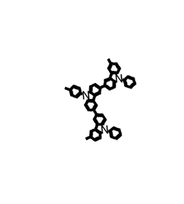 Cc1ccc(-n2c3ccc(-c4ccc5c(c4)c4cc(C)ccc4n5-c4ccccc4)cc3c3cc(-c4ccc5c(c4)c4cc(C)ccc4n5-c4ccccc4)ccc32)cc1